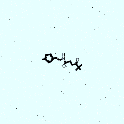 Cc1ccc(CCNC(=O)CCC(=O)C(C)(C)C)cc1